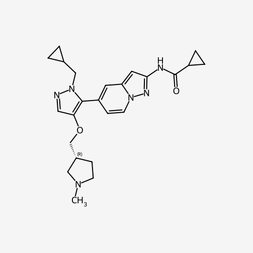 CN1CC[C@@H](COc2cnn(CC3CC3)c2-c2ccn3nc(NC(=O)C4CC4)cc3c2)C1